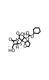 CC(OC(=O)OC1CCCCC1)C1([C@H]2CCCO2)S[C@@H]2[C@@H]([C@@H](C)O)C(=O)N2C1C(=O)O